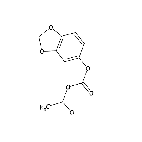 CC(Cl)OC(=O)Oc1ccc2c(c1)OCO2